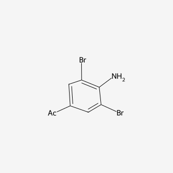 CC(=O)c1cc(Br)c(N)c(Br)c1